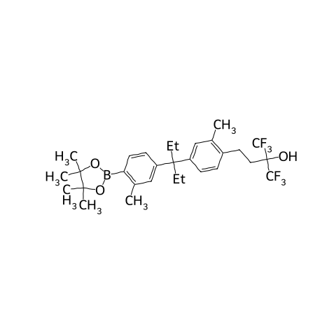 CCC(CC)(c1ccc(CCC(O)(C(F)(F)F)C(F)(F)F)c(C)c1)c1ccc(B2OC(C)(C)C(C)(C)O2)c(C)c1